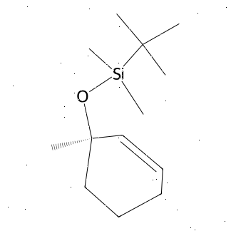 CC(C)(C)[Si](C)(C)O[C@@]1(C)C=CCCC1